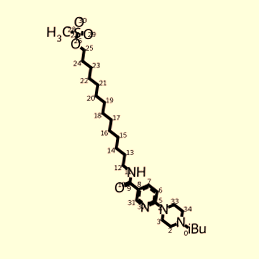 CCC(C)N1CCN(c2ccc(C(=O)NCCCCCCCCCCCCCCOS(C)(=O)=O)cn2)CC1